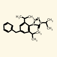 CC(C)c1cc(Cc2ccccc2)cc(C(C)C)c1-n1nnn(C(C)C)c1=S